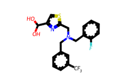 OC(O)c1csc(CN(Cc2cccc(C(F)(F)F)c2)Cc2ccccc2F)n1